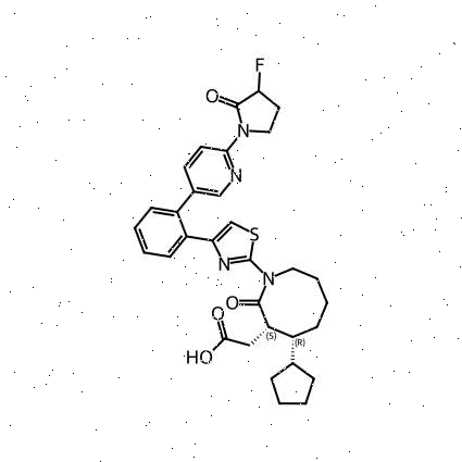 O=C(O)C[C@@H]1C(=O)N(c2nc(-c3ccccc3-c3ccc(N4CCC(F)C4=O)nc3)cs2)CCCC[C@@H]1C1CCCC1